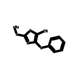 CCCCSc1nc(Sc2ccccc2)c(C#N)s1